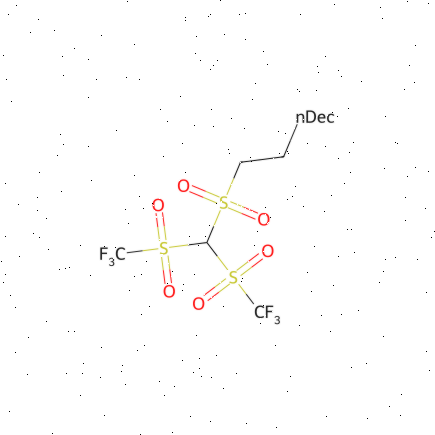 CCCCCCCCCCCCS(=O)(=O)C(S(=O)(=O)C(F)(F)F)S(=O)(=O)C(F)(F)F